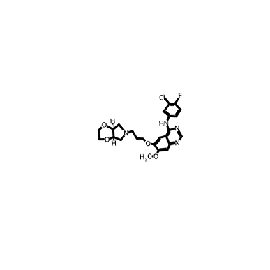 COc1cc2ncnc(Nc3ccc(F)c(Cl)c3)c2cc1OCCCN1C[C@@H]2OCCO[C@H]2C1